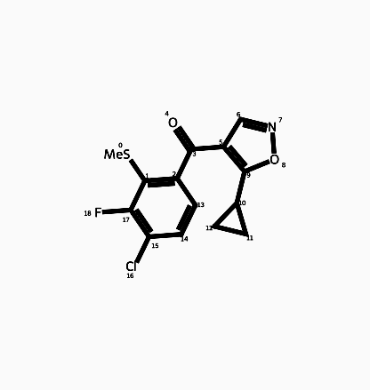 CSc1c(C(=O)c2cnoc2C2CC2)ccc(Cl)c1F